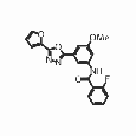 COc1cc(NC(=O)c2ccccc2F)cc(-c2nnc(-c3ccco3)o2)c1